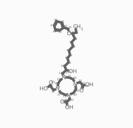 CCC(CCCCCCCCC(O)CN1CCN(CC(=O)O)CCN(CC(=O)O)CCN(CC(=O)O)CC1)OCc1ccccc1